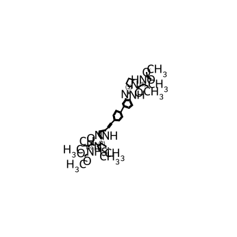 COC(=O)N[C@H](C(=O)N1C[Si](C)(C)C[C@H]1c1ncc(C#Cc2ccc(-c3ccc4[nH]c([C@@H]5CCCN5C(=O)[C@@H](NC(=O)OC)C(C)C)nc4c3)cc2)[nH]1)C(C)C